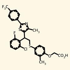 Cc1cc(SCC(c2sc(-c3ccc(C(F)(F)F)cc3)nc2C)c2c(F)cccc2Cl)ccc1OCC(=O)O